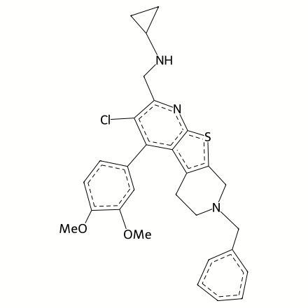 COc1ccc(-c2c(Cl)c(CNC3CC3)nc3sc4c(c23)CCN(Cc2ccccc2)C4)cc1OC